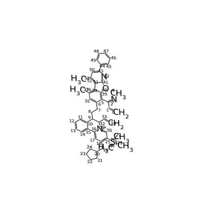 C=C/C(=N/C)c1c(CCC2c3ccccc3-c3cc(CC4CCCC4)c([Si](C)(C)C)c[n+]3C2C=C)cc(C)c2c1oc1nc(-c3ccccc3)cc(C)c12